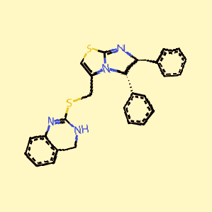 C1=C(CSC2=Nc3ccccc3CN2)N2C(=N[C@@H](c3ccccc3)[C@@H]2c2ccccc2)S1